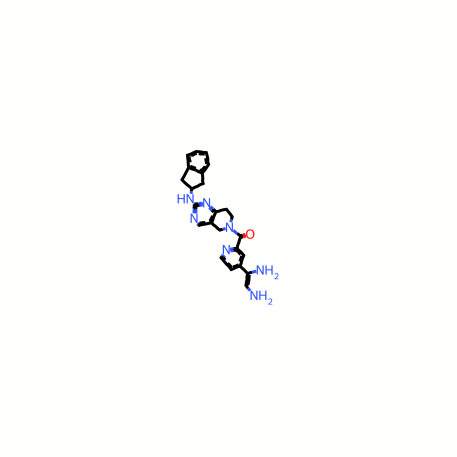 N/C=C(\N)c1ccnc(C(=O)N2CCc3nc(NC4Cc5ccccc5C4)ncc3C2)c1